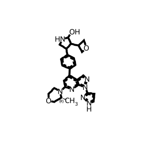 C[C@@H]1COCCN1c1cc(-c2ccc(C3CNC(O)C3C3COC3)cc2)c2cnn(-c3cc[nH]n3)c2n1